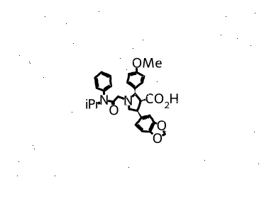 COc1ccc([C@@H]2[C@@H](C(=O)O)[C@@H](c3ccc4c(c3)OCO4)CN2CC(=O)N(c2ccccc2)C(C)C)cc1